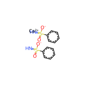 N=S(=O)([O-])c1ccccc1.N=S(=O)([O-])c1ccccc1.[Ca+2]